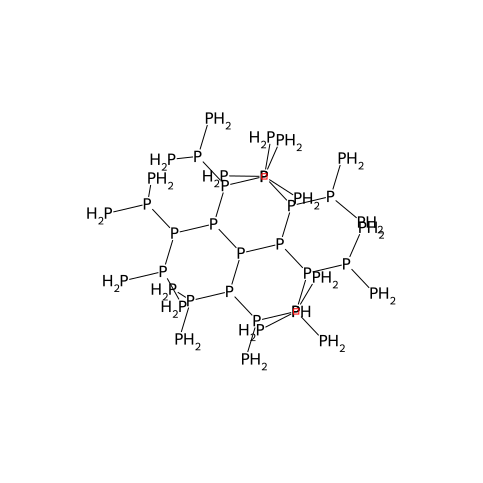 PPP(P)P(P(P)P)P(P(P(P(P)P)P(P)P)P(P(P)P)P(P)P)P(P(P(P)P)P(P)P)P(P(P)P)P(P)P